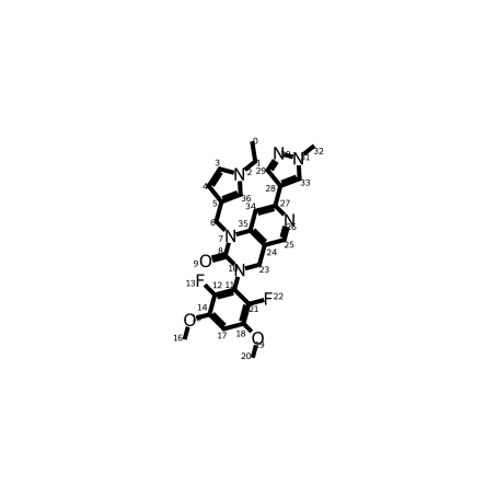 CCn1ccc(CN2C(=O)N(c3c(F)c(OC)cc(OC)c3F)Cc3cnc(-c4cnn(C)c4)cc32)c1